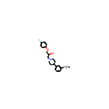 COc1cccc(C2CCN(CC(O)COc3ccc(F)cc3)CC2)c1